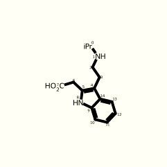 CC(C)NCCc1c(CC(=O)O)[nH]c2ccccc12